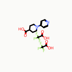 O=C(O)C(F)(F)F.O=C(O)C(F)(F)F.O=C(O)C1CCN(c2ccncc2)CC1